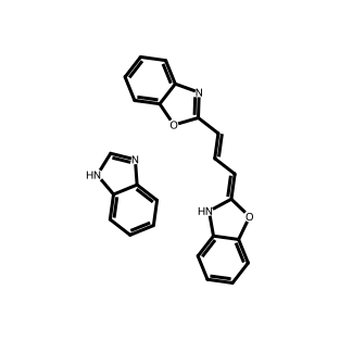 C(=Cc1nc2ccccc2o1)C=C1Nc2ccccc2O1.c1ccc2[nH]cnc2c1